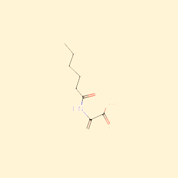 C=C(NC(=O)CCCCC)C(=O)O